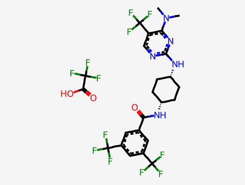 CN(C)c1nc(N[C@H]2CC[C@@H](NC(=O)c3cc(C(F)(F)F)cc(C(F)(F)F)c3)CC2)ncc1C(F)(F)F.O=C(O)C(F)(F)F